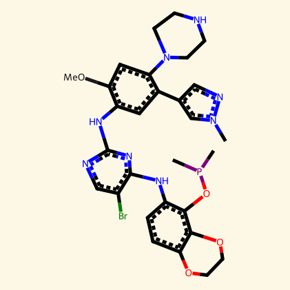 COc1cc(N2CCNCC2)c(-c2cnn(C)c2)cc1Nc1ncc(Br)c(Nc2ccc3c(c2OP(C)C)OCCO3)n1